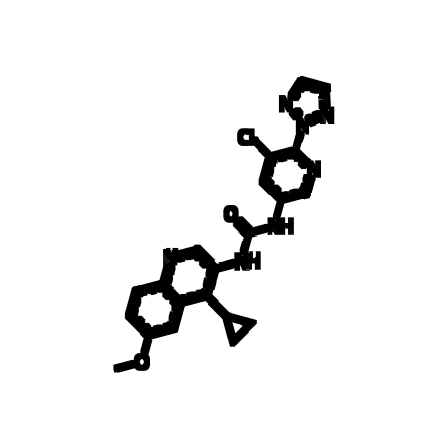 COc1ccc2ncc(NC(=O)Nc3cnc(-n4nccn4)c(Cl)c3)c(C3CC3)c2c1